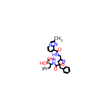 Cc1cn2cccc(C(=O)NCC3=NOC(Cc4ccccc4)(C(=O)NC(CC(C)C)B(O)O)C3)c2n1